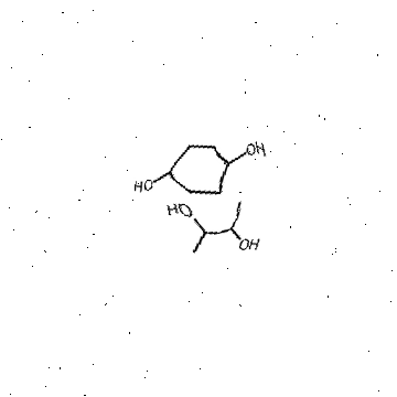 CC(O)C(C)O.OC1CCC(O)CC1